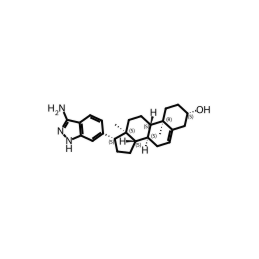 C[C@]12CC[C@H]3[C@@H](CC=C4C[C@@H](O)CC[C@@]43C)[C@@H]1CC[C@@H]2c1ccc2c(N)n[nH]c2c1